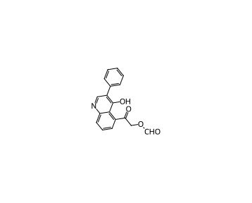 O=COCC(=O)c1cccc2ncc(-c3ccccc3)c(O)c12